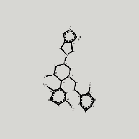 C[C@H]1C[C@@H](N2Cc3cn[nH]c3C2)CN(CCc2ccccc2F)C1c1cc(F)ccc1F